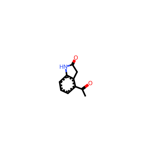 CC(=O)c1cccc2c1CC(=O)N2